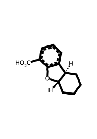 O=C(O)c1cccc2c1O[C@H]1CCCC[C@H]21